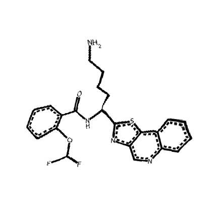 NCCCC[C@H](NC(=O)c1ccccc1OC(F)F)c1nc2cnc3ccccc3c2s1